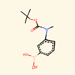 CN(C(=O)OC(C)(C)C)c1cccc(B(O)O)c1